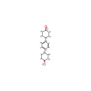 O=C1CCC(c2ccc(C3CCC(=O)CC3)cc2)CC1